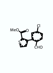 COC(=O)c1sccc1-c1cc(Cl)ccc1C=O